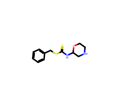 S=C(NC1CNCCO1)SCc1ccccc1